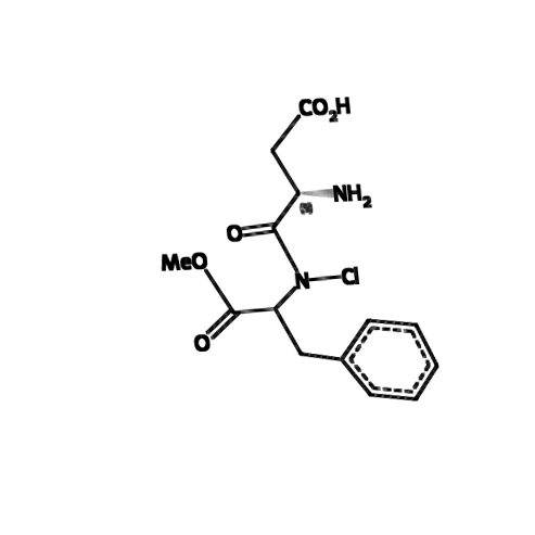 COC(=O)C(Cc1ccccc1)N(Cl)C(=O)[C@@H](N)CC(=O)O